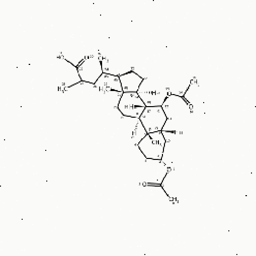 CC(=O)O[C@@H]1CC[C@@]2(C)[C@@H](C1)C[C@H](OC(C)=O)[C@@H]1[C@@H]2CC[C@]2(C)[C@@H]([C@H](C)CC(C)C(=O)O)CC[C@@H]12